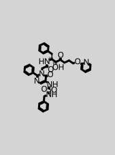 O=C(Cn1c(-c2ccccc2)ncc(NS(=O)(=O)NCc2ccccc2)c1=O)N[C@@H](Cc1ccccc1)[C@@H](O)C(=O)CCCOc1ccccn1